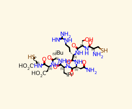 CC[C@H](C)[C@H](NC(=O)[C@H](CC(C)C)NC(=O)[C@H](CC(N)=O)NC(=O)[C@H](CCCNC(=N)N)NC(=O)[C@H](CO)NC(=O)[C@@H](N)CS)C(=O)N[C@@H](CC(=O)O)C(=O)N[C@@H](CS)C(=O)O